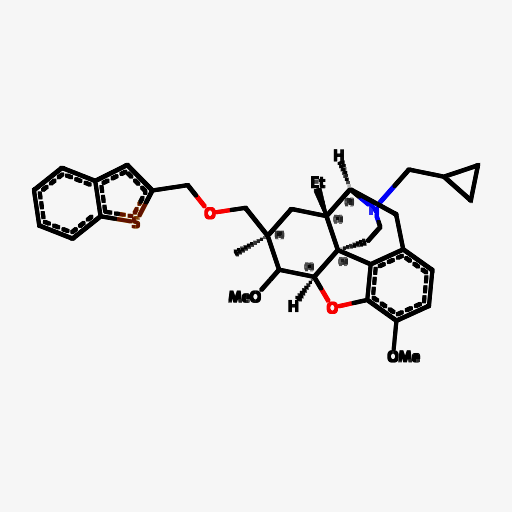 CC[C@]12C[C@](C)(COCc3cc4ccccc4s3)C(OC)[C@@H]3Oc4c(OC)ccc5c4[C@@]31CCN(CC1CC1)[C@@H]2C5